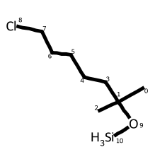 CC(C)(CCCCCCl)O[SiH3]